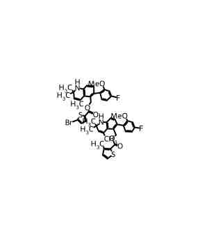 COc1cc(F)ccc1-c1ccc2c(c1COC(=O)c1ccc(Br)s1)C(C)=CC(C)(C)N2.COc1cc(F)ccc1-c1ccc2c(c1COC(=O)c1sccc1C)C(C)=CC(C)(C)N2